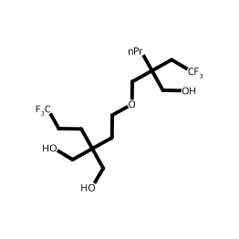 CCCC(CO)(COCCC(CO)(CO)CCC(F)(F)F)CC(F)(F)F